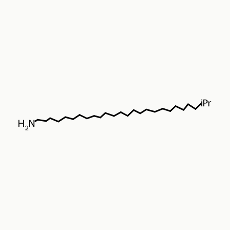 CC(C)CCCCCCCCCCCCCCCCCCCCCCCCN